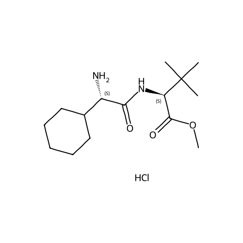 COC(=O)[C@@H](NC(=O)[C@@H](N)C1CCCCC1)C(C)(C)C.Cl